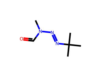 CN(C=O)/N=N/C(C)(C)C